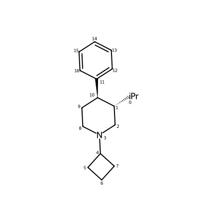 CC(C)[C@@H]1CN(C2CCC2)CC[C@H]1c1ccccc1